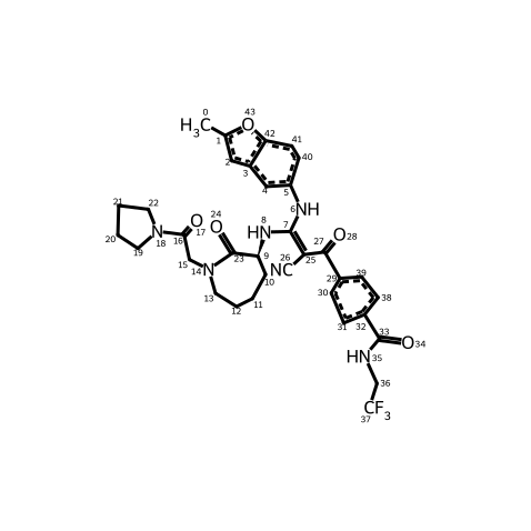 Cc1cc2cc(N/C(N[C@H]3CCCCN(CC(=O)N4CCCC4)C3=O)=C(/C#N)C(=O)c3ccc(C(=O)NCC(F)(F)F)cc3)ccc2o1